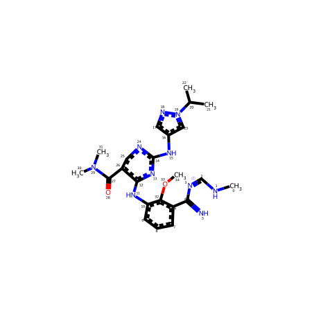 CN/C=N\C(=N)c1cccc(Nc2nc(Nc3cnn(C(C)C)c3)ncc2C(=O)N(C)C)c1OC